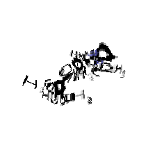 C=C(/N=C1/C=CC=C/C1=C(/N)N(C)C)N[C@H]1CC[C@@H](NC(=O)c2cc(OC)c(O)c(OC)c2)CC1